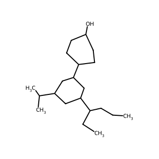 CCCC(CC)C1CC(C(C)C)CC(C2CCC(O)CC2)C1